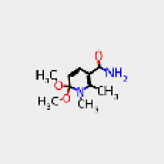 COC1(OC)C=CC(C(N)=O)=C(C)N1C